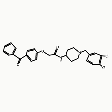 O=C(COc1ccc(C(=O)c2ccccc2)cc1)NC1CCN(Cc2ccc(Cl)c(Cl)c2)CC1